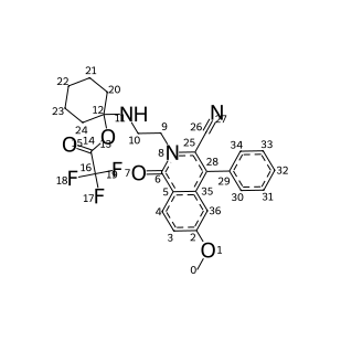 COc1ccc2c(=O)n(CCNC3(OC(=O)C(F)(F)F)CCCCC3)c(C#N)c(-c3ccccc3)c2c1